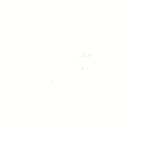 NC(=O)C(F)(F)c1ccc(-c2ccc(Cl)s2)cc1